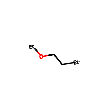 C[CH]CCOCC